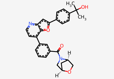 CC(C)(O)c1ccc(-c2cc3nccc(-c4cccc(C(=O)N5C[C@H]6C[C@@H]5CO6)c4)c3o2)cc1